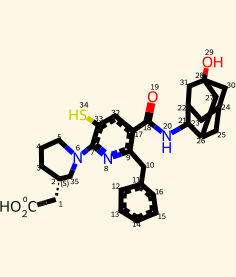 O=C(O)C[C@@H]1CCCN(c2nc(Cc3ccccc3)c(C(=O)NC3C4CC5CC3CC(O)(C5)C4)cc2S)C1